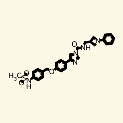 CS(=O)(=O)Nc1ccc(COc2ccc(-c3cn(C(=O)NCC4CN(c5ccccc5)C4)cn3)cc2)cc1